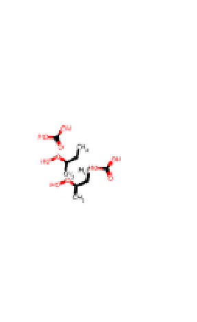 CCC(C)OO.CCC(C)OO.O=C(O)O.O=C(O)O